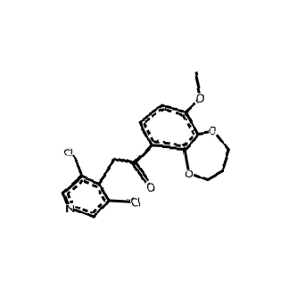 COc1ccc(C(=O)Cc2c(Cl)cncc2Cl)c2c1OCCCO2